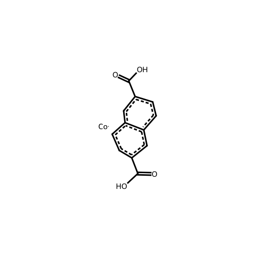 O=C(O)c1ccc2cc(C(=O)O)ccc2c1.[Co]